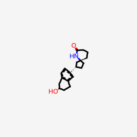 O=C1CCC[C@]2(CC[C@H](c3ccc4c(c3)CC[C@@H](O)C4)C2)N1